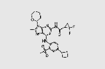 Cc1nc2c(Nc3ccc(C4CCC4)cc3S(C)(=O)=O)cc(NC(=O)C3CC3(F)F)nc2n1C1CCCCO1